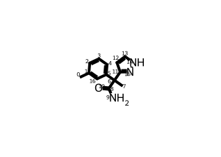 Cc1cccc(C(C)(C(N)=O)c2cc[nH]n2)c1